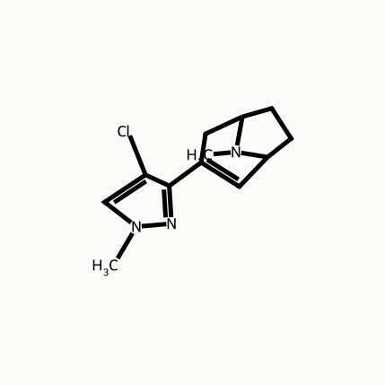 CN1C2C=C(c3nn(C)cc3Cl)CC1CC2